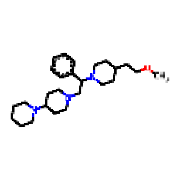 COCCC1CCN(C(CN2CCC(N3CCCCC3)CC2)c2ccccc2)CC1